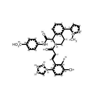 Cn1nccc1-c1cccc2c1CCN(C(=O)C=Cc1c(-n3cnnn3)ccc(Cl)c1F)C2C(=O)Nc1ccc(C(=O)O)cc1